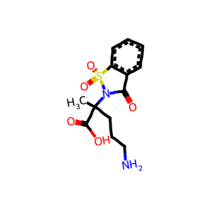 CC(CCCN)(C(=O)O)N1C(=O)c2ccccc2S1(=O)=O